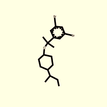 CCC(C)C1CCC(OC(C)(C)c2cc(Br)cc(Br)c2)CC1